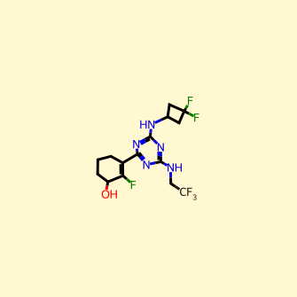 OC1CCCC(c2nc(NCC(F)(F)F)nc(NC3CC(F)(F)C3)n2)=C1F